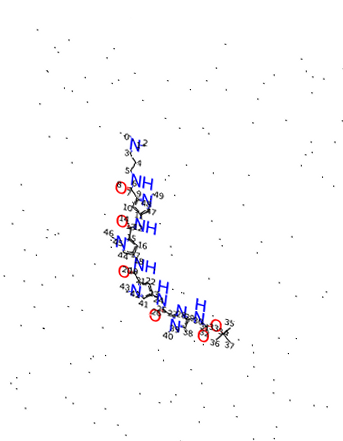 CN(C)CCCNC(=O)c1cc(NC(=O)c2cc(NC(=O)c3cc(NC(=O)c4nc(NC(=O)OC(C)(C)C)cn4C)cn3C)cn2C)cn1C